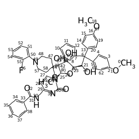 COc1ccc(C(c2ccccc2)(c2ccc(OC)cc2)C(O)[C@H]2O[C@@H](n3ccc(NC(=O)c4ccccc4)nc3=O)[C@@](O)(C3(OC)CCN(c4ccccc4F)CC3)[C@@H]2O)cc1